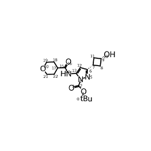 CC(C)(C)OC(=O)n1nc([C@H]2C[C@@H](O)C2)cc1NC(=O)C1CCOCC1